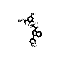 CCNC(=O)c1cc(C(C)(C)C)cc(NC(=O)C(=O)c2ccc(-c3ccc(NC)nc3)c3ccccc23)c1OC